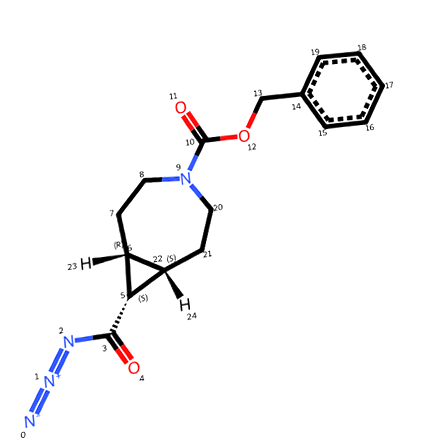 [N-]=[N+]=NC(=O)[C@@H]1[C@@H]2CCN(C(=O)OCc3ccccc3)CC[C@@H]21